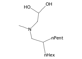 CCCCCCC(CCCCC)CN(C)CC(O)O